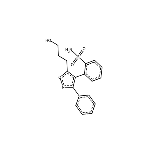 NS(=O)(=O)c1ccccc1-c1c(-c2ccccc2)noc1CCCO